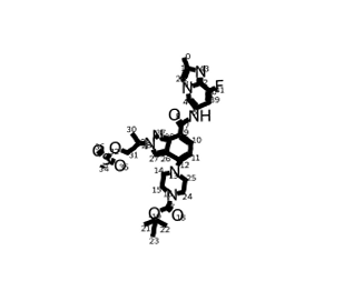 Cc1cn2cc(NC(=O)c3ccc(N4CCN(C(=O)OC(C)(C)C)CC4)c4cn(C(C)COS(C)(=O)=O)nc34)cc(F)c2n1